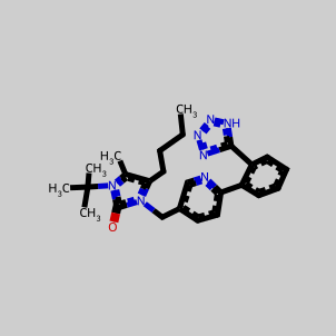 CCCCc1c(C)n(C(C)(C)C)c(=O)n1Cc1ccc(-c2ccccc2-c2nnn[nH]2)nc1